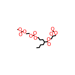 CCCCC(CCCOC(=O)OCCOC(=O)OC)C(=O)OCC1COC(=O)O1